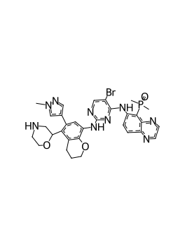 Cn1cc(-c2cc(Nc3ncc(Br)c(Nc4ccc5nccnc5c4P(C)(C)=O)n3)c3c(c2C2CNCCO2)CCCO3)cn1